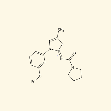 Cc1cn(-c2cccc(OC(C)C)c2)/c(=N/C(=O)N2CCCC2)s1